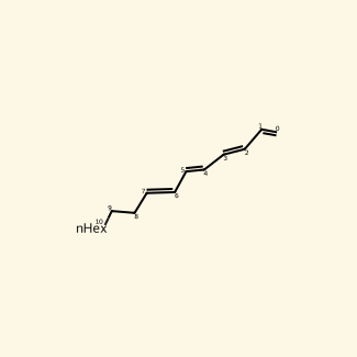 C=CC=CC=CC=CCCCCCCCC